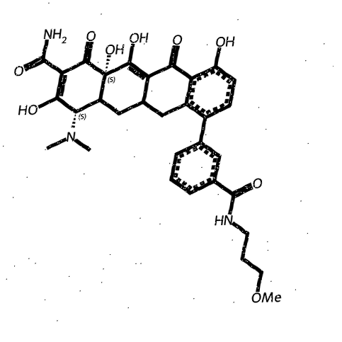 COCCCNC(=O)c1cccc(-c2ccc(O)c3c2CC2CC4[C@H](N(C)C)C(O)=C(C(N)=O)C(=O)[C@@]4(O)C(O)=C2C3=O)c1